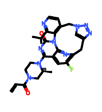 C=CC(=O)N1CCN(c2nc(=O)n3c4nc(c(F)cc24)Cc2cn(nn2)Cc2ccnc(C(C)C)c2-3)[C@@H](C)C1